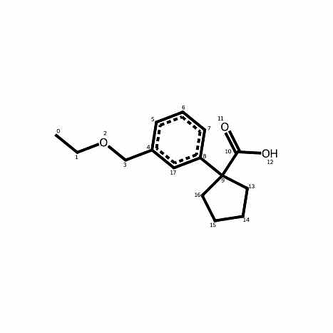 CCOCc1cccc(C2(C(=O)O)CCCC2)c1